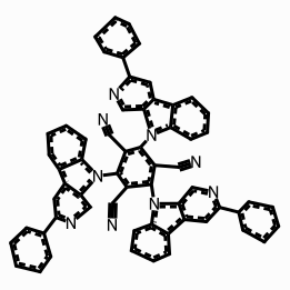 N#Cc1c(-n2c3ccccc3c3cc(-c4ccccc4)ncc32)c(C#N)c(-n2c3ccccc3c3cc(-c4ccccc4)ncc32)c(C#N)c1-n1c2ccccc2c2cc(-c3ccccc3)ncc21